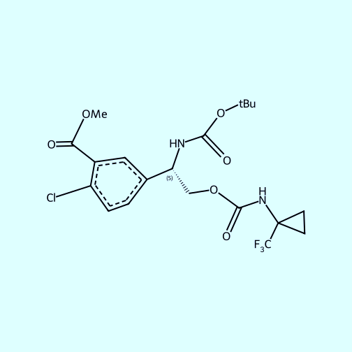 COC(=O)c1cc([C@@H](COC(=O)NC2(C(F)(F)F)CC2)NC(=O)OC(C)(C)C)ccc1Cl